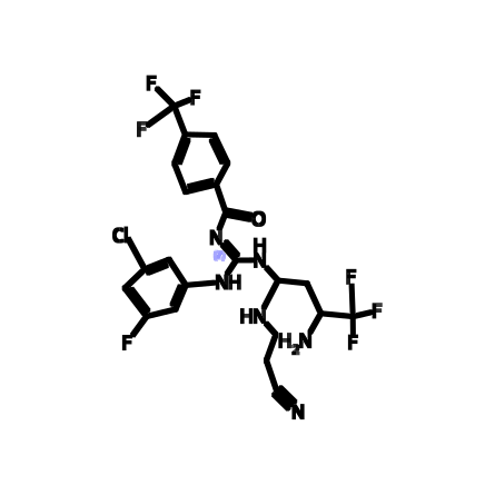 N#CCCNC(CC(N)C(F)(F)F)N/C(=N\C(=O)c1ccc(C(F)(F)F)cc1)Nc1cc(F)cc(Cl)c1